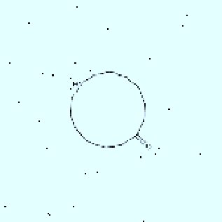 O=C1CCCCCCNCCCCCC1